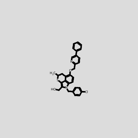 CC1Cc2c(OCc3ccc(-c4ccccc4)cn3)ccc3c2c(c(CO)n3Cc2ccc(Cl)cc2)S1